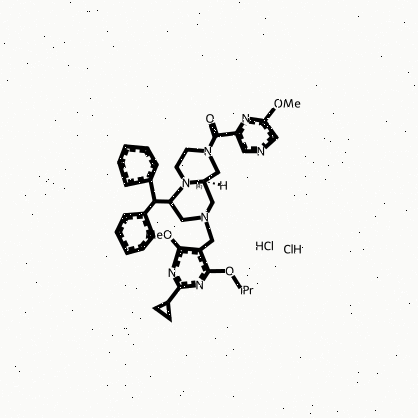 COc1cncc(C(=O)N2CCN3C(C(c4ccccc4)c4ccccc4)CN(Cc4c(OC)nc(C5CC5)nc4OC(C)C)C[C@@H]3C2)n1.Cl.Cl